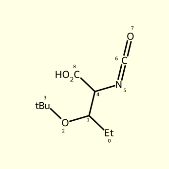 CCC(OC(C)(C)C)C(N=C=O)C(=O)O